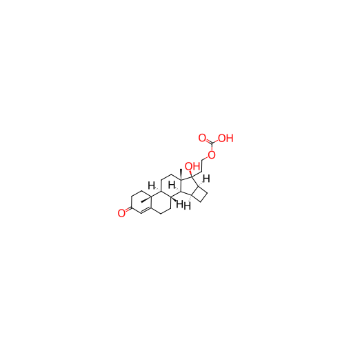 C[C@]12CCC(=O)C=C1CC[C@H]1[C@@H]3[C@@H]4CC[C@@H]4[C@@](O)(CCOC(=O)O)[C@@]3(C)CC[C@@H]12